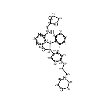 c1ccc(C2c3c(NCC4OCCO4)ncnc3OC2c2ccc(CCCN3CCOCC3)cc2)cc1